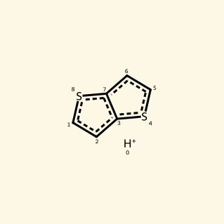 [H+].c1cc2sccc2s1